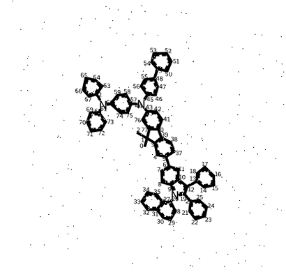 CC1(C)c2cc(-c3ccc4c(c3)c(-c3ccccc3)c(-c3ccccc3)n4-c3cccc4ccccc34)ccc2-c2ccc(N(c3ccc(-c4ccccc4)cc3)c3ccc(N(c4ccccc4)c4ccccc4)cc3)cc21